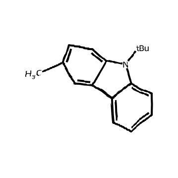 Cc1ccc2c(c1)c1ccccc1n2C(C)(C)C